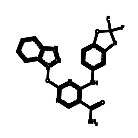 NC(=O)c1cnc(On2nnc3ccccc32)nc1Nc1ccc2c(c1)OC(F)(F)O2